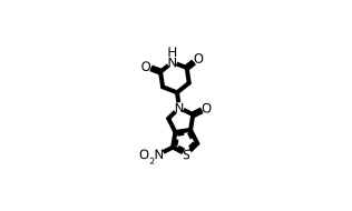 O=C1CC(N2Cc3c(csc3[N+](=O)[O-])C2=O)CC(=O)N1